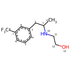 CC(Cc1cccc(C(F)(F)F)c1)NCCO